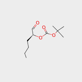 CCCC[C@@H](C=O)OC(=O)OC(C)(C)C